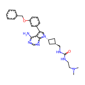 CN(C)CCNC(=O)NC[C@H]1C[C@H](n2cc(-c3cccc(OCc4ccccc4)c3)c3c(N)ncnc32)C1